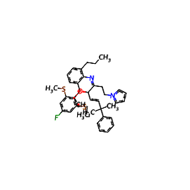 CCCc1cccc(CCC)c1/N=C(/CCn1cccc1)[C@@H](/C=C/C(C)(C)c1ccccc1)Oc1c(SC)cc(F)cc1SC